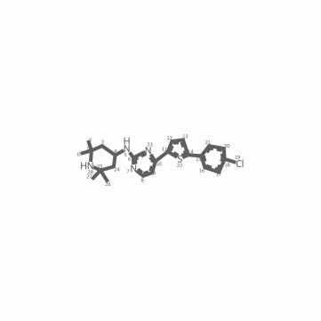 CC1(C)CC(Nc2nccc(-c3ccc(-c4ccc(Cl)cc4)s3)n2)CC(C)(C)N1